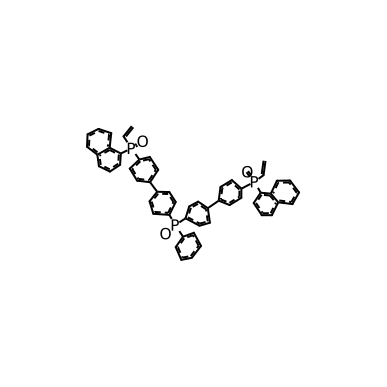 C=CP(=O)(c1ccc(-c2ccc(P(=O)(c3ccccc3)c3ccc(-c4ccc(P(=O)(C=C)c5cccc6ccccc56)cc4)cc3)cc2)cc1)c1cccc2ccccc12